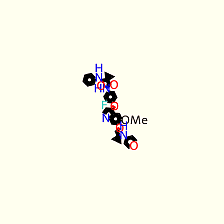 COc1cc2c(Oc3ccc(NC(=O)C4(C(=O)Nc5ccccc5)CC4)cc3F)ccnc2cc1OCC1(NC2CCOCC2)CC1